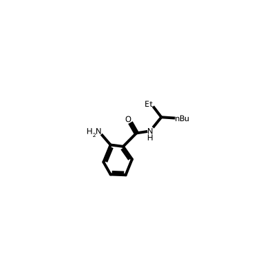 CCCCC(CC)NC(=O)c1ccccc1N